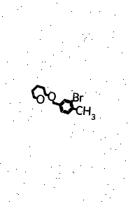 Cc1ccc(COC2CCCCO2)cc1Br